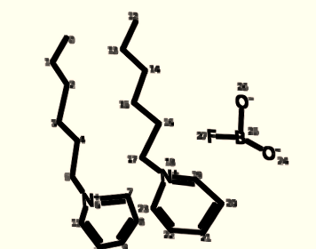 CCCCCC[n+]1ccccc1.CCCCCC[n+]1ccccc1.[O-]B([O-])F